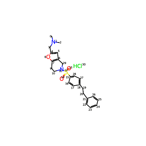 CN(C)Cc1cc2c(o1)CCN(S(=O)(=O)c1ccc(CCc3ccccc3)cc1)C2.Cl